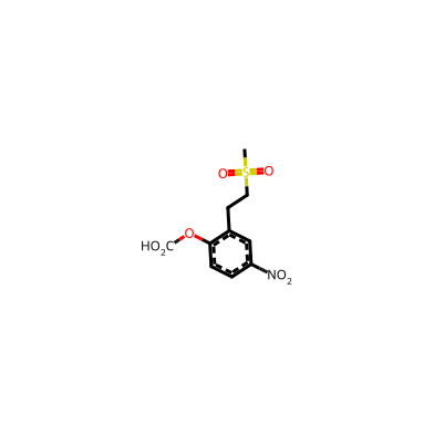 CS(=O)(=O)CCc1cc([N+](=O)[O-])ccc1OC(=O)O